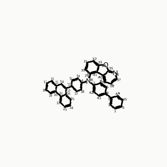 c1ccc(-c2ccc(N(c3ccc(-c4cc5ccccc5c5ccccc45)cc3)c3cccc4oc5ncccc5c34)cc2)cc1